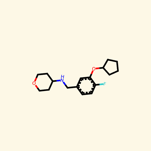 Fc1ccc(CNC2CCOCC2)cc1OC1CCCC1